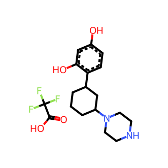 O=C(O)C(F)(F)F.Oc1ccc(C2CCCC(N3CCNCC3)C2)c(O)c1